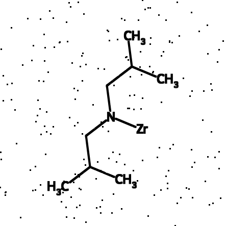 CC(C)C[N]([Zr])CC(C)C